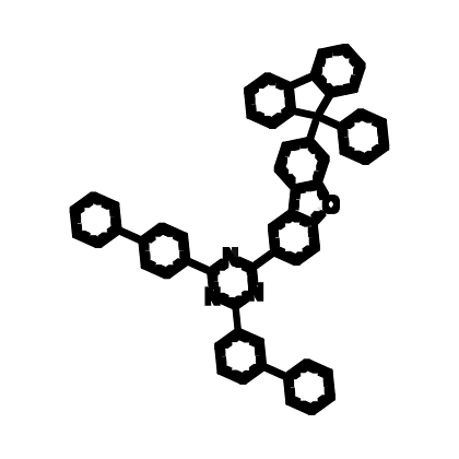 c1ccc(-c2ccc(-c3nc(-c4cccc(-c5ccccc5)c4)nc(-c4ccc5oc6cc(C7(c8ccccc8)c8ccccc8-c8ccccc87)ccc6c5c4)n3)cc2)cc1